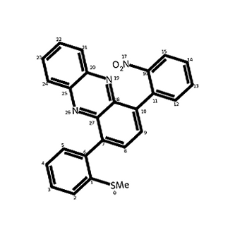 CSc1ccccc1-c1ccc(-c2ccccc2[N+](=O)[O-])c2nc3ccccc3nc12